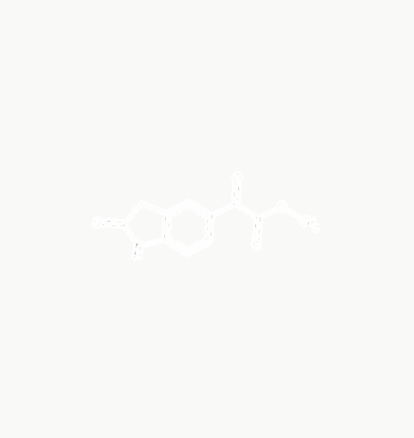 COC(=O)C(=O)c1ccc2c(c1)CC(=O)N2